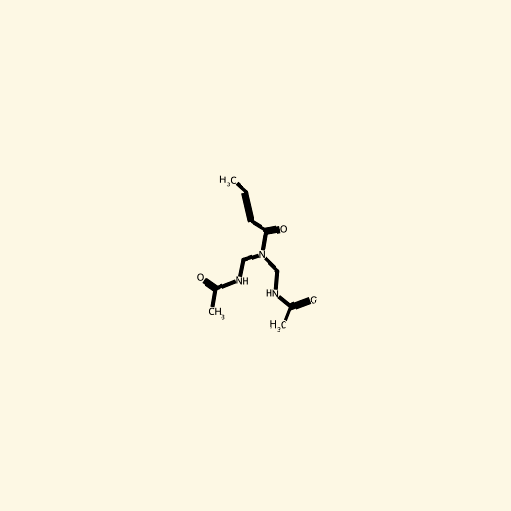 CC=CC(=O)N(CNC(C)=O)CNC(C)=O